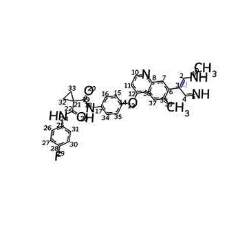 CN/C=C(\C=N)c1cc2nccc(Oc3ccc(NC(=O)C4(C(=O)Nc5ccc(F)cc5)CC4)cc3)c2cc1C